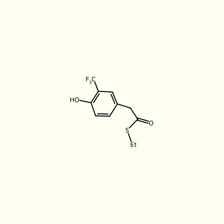 CCSC(=O)Cc1ccc(O)c(C(F)(F)F)c1